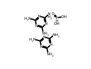 Nc1nc(N)nc(N)n1.Nc1nc(N)nc(N)n1.O=[PH](O)O